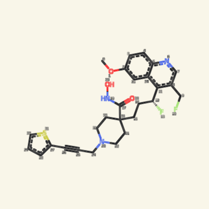 COc1ccc2ncc(CF)c([C@H](F)CCC3(C(=O)NO)CCN(CC#Cc4cccs4)CC3)c2c1